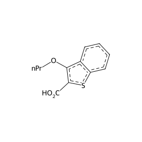 CCCOc1c(C(=O)O)sc2ccccc12